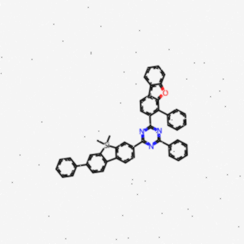 C[Si]1(C)c2cc(-c3ccccc3)ccc2-c2ccc(-c3nc(-c4ccccc4)nc(-c4ccc5c(oc6ccccc65)c4-c4ccccc4)n3)cc21